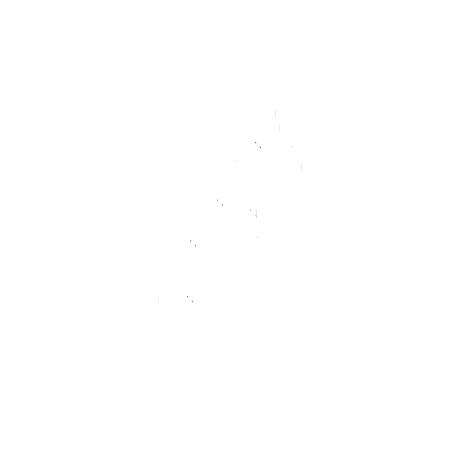 CCn1c(C(F)(F)F)cc2nc(-c3ncc(N(C)C(=O)C4CC4)cc3S(=O)(=O)CC)n(C)c2c1=O